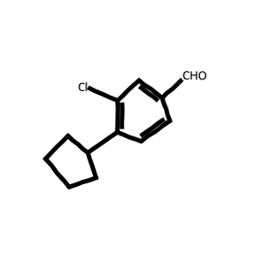 O=Cc1ccc(C2CCCC2)c(Cl)c1